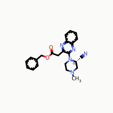 CN1CCN(c2nc3ccccc3nc2CC(=O)OCc2ccccc2)[C@H](C#N)C1